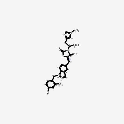 Cn1cnc(CC(C(=O)O)N2C(=O)S/C(=C\c3ccc4c(cnn4Cc4ccc(Cl)cc4C(F)(F)F)c3)C2=O)c1